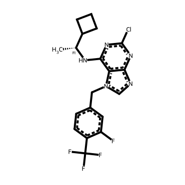 C[C@@H](Nc1nc(Cl)nc2ncn(Cc3ccc(C(F)(F)F)c(F)c3)c12)C1CCC1